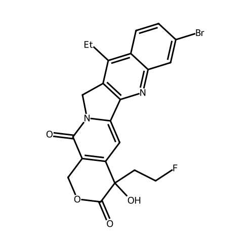 CCc1c2c(nc3cc(Br)ccc13)-c1cc3c(c(=O)n1C2)COC(=O)C3(O)CCF